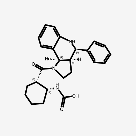 O=C(O)N[C@@H]1CCCC[C@@H]1C(=O)N1CC[C@@H]2[C@H](c3ccccc3)Nc3ccccc3[C@@H]21